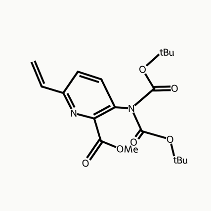 C=Cc1ccc(N(C(=O)OC(C)(C)C)C(=O)OC(C)(C)C)c(C(=O)OC)n1